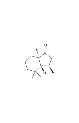 C[C@@H]1CC(=O)[C@@H]2CCCC(C)(C)[C@@H]12